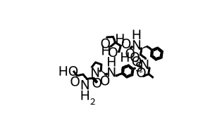 CC(C)CN(C[C@@H](O)[C@H](Cc1ccccc1)NC(=O)O[C@H]1CO[C@H]2OCC[C@H]21)S(=O)(=O)c1ccc(CNC(=O)[C@@H]2CCCN2C(=O)[C@@H](N)CC(=O)O)cc1